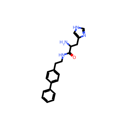 NC(Cc1c[nH]cn1)C(=O)NCCc1ccc(-c2ccccc2)cc1